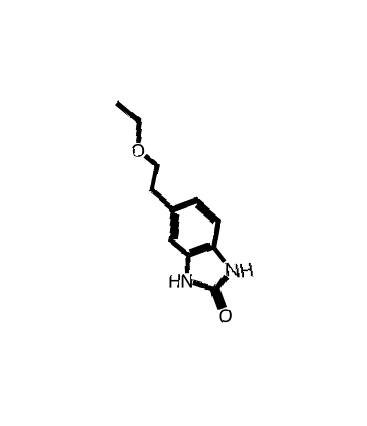 CCOCCc1ccc2[nH]c(=O)[nH]c2c1